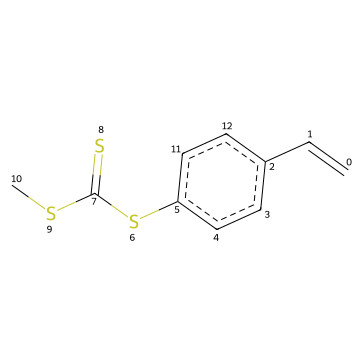 C=Cc1ccc(SC(=S)SC)cc1